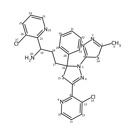 Cc1nnc(N2N=C(c3ncccc3Cl)SC2(CCC(N)c2ncccc2Cl)c2ccccc2)s1